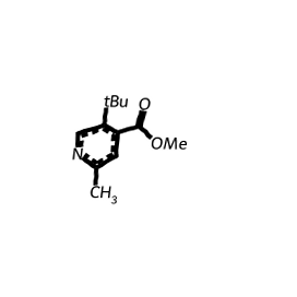 COC(=O)c1cc(C)ncc1C(C)(C)C